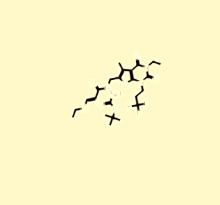 CCO/C=C/C(=O)N(Cc1sc2c(c1C)c(=O)n(CC)c(=O)n2CCC(F)(F)F)NC(=O)OC(C)(C)C